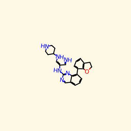 N=C/C(=C\NC1CCNCC1)Nc1ncc2cccc(-c3cccc4c3OCC4)c2n1